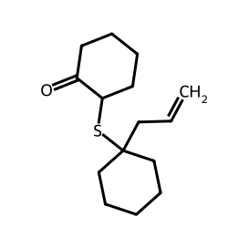 C=CCC1(SC2CCCCC2=O)CCCCC1